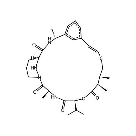 CC(C)[C@@H]1OC(=O)[C@H](C)[C@H](C)CC/C=C/c2cccc(c2)[C@@H](C)NC(=O)[C@@H]2CCCN(N2)C(=O)[C@H](C)NC1=O